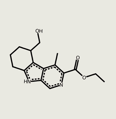 CCOC(=O)c1ncc2[nH]c3c(c2c1C)C(CO)CCC3